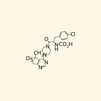 CC1c2c(ncnc2N2CCN(C(=O)C(Cc3ccc(Cl)cc3)NC(=O)O)CC2)C[S+]1[O-]